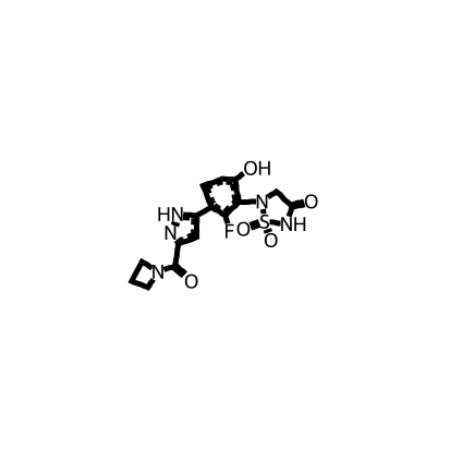 O=C1CN(c2c(O)ccc(-c3cc(C(=O)N4CCC4)n[nH]3)c2F)S(=O)(=O)N1